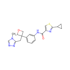 Cn1cnnc1CC1(c2cccc(NC(=O)c3csc(C4CC4)n3)c2)COC1